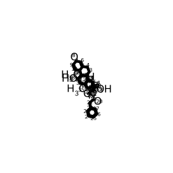 C[C@]12[C@@H](CCC3=CC(=O)C=C[C@@]31C)[C@]1(C)C[C@H]3CN(C(=O)Cc4ccccc4)O[C@@]3(C(=O)CO)[C@@]1(C)C[C@@H]2O